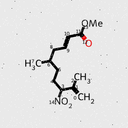 C=C(C)C(CCC(C)CC=CC(=O)OC)[N+](=O)[O-]